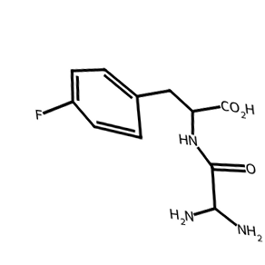 NC(N)C(=O)NC(Cc1ccc(F)cc1)C(=O)O